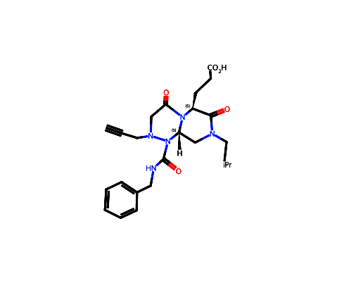 C#CCN1CC(=O)N2[C@@H](CCC(=O)O)C(=O)N(CC(C)C)C[C@@H]2N1C(=O)NCc1ccccc1